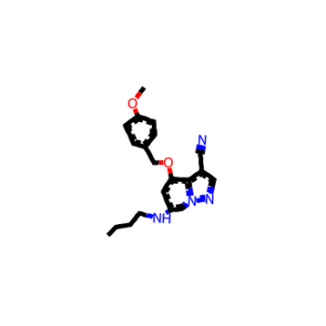 CCCCNc1cc(OCc2ccc(OC)cc2)c2c(C#N)cnn2c1